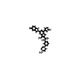 CC(=O)N1CCN(c2cccc(NC(=O)c3nn4c(-c5cn[nH]c5)cc(N5Cc6ccc(F)cc6C5)nc4c3C(C)C)c2)CC1